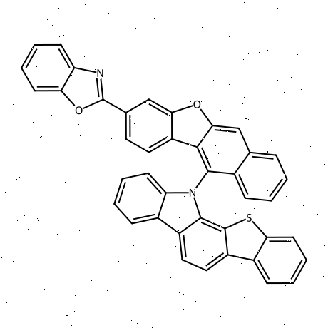 c1ccc2c(-n3c4ccccc4c4ccc5c6ccccc6sc5c43)c3c(cc2c1)oc1cc(-c2nc4ccccc4o2)ccc13